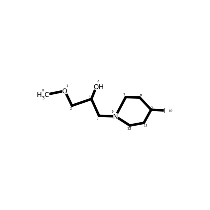 COCC(O)CN1CCC(I)CC1